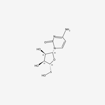 Nc1ccn([C@@H]2O[C@H](SO)[C@@H](O)[C@H]2O)c(=O)n1